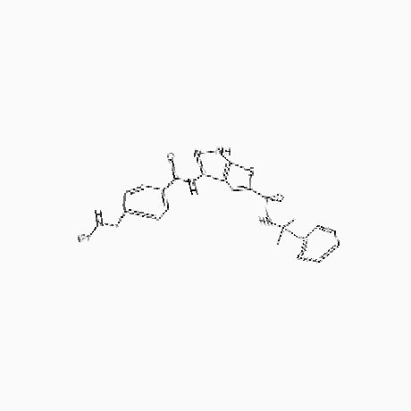 CC(C)NCc1ccc(C(=O)Nc2n[nH]c3sc(C(=O)NC(C)(C)c4ccccc4)cc23)cc1